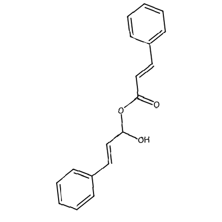 O=C(C=Cc1ccccc1)OC(O)C=Cc1ccccc1